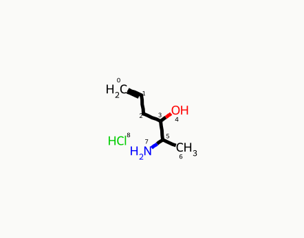 C=CCC(O)C(C)N.Cl